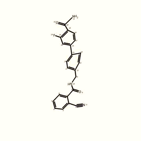 N#Cc1ccccc1C(=O)NCc1ccc(-c2ccc(C(N)=O)c(F)c2)cc1